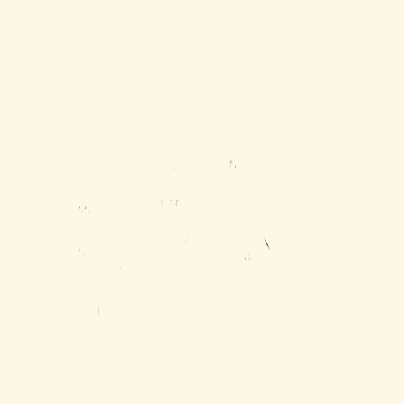 COc1cc(C(=O)NC[C@](O)(c2cc3c(c(-c4ccc(C(F)(F)F)cc4)n2)OC[C@]3(C)C(N)=O)C2CC2)cc2cc(Cl)cnc12